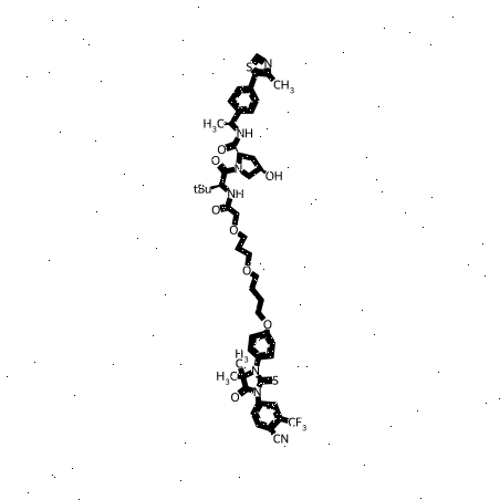 Cc1ncsc1-c1ccc([C@H](C)NC(=O)[C@@H]2C[C@@H](O)CN2C(=O)[C@@H](NC(=O)COCCCOCCCCOc2ccc(N3C(=S)N(c4ccc(C#N)c(C(F)(F)F)c4)C(=O)C3(C)C)cc2)C(C)(C)C)cc1